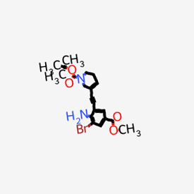 COC(=O)c1cc(Br)c(N)c(C#CC2=CCCN(C(=O)OC(C)(C)C)C2)c1